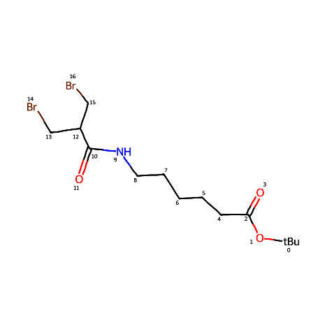 CC(C)(C)OC(=O)CCCCCNC(=O)C(CBr)CBr